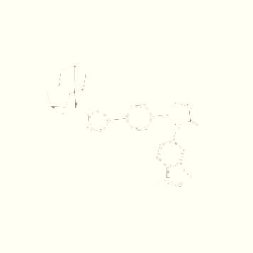 O=C1NCC(c2ccc(-c3cnc(C45CC6CC7CC(CC4C7C6)C5)s3)cc2)N1c1ccc2[nH]cnc2c1